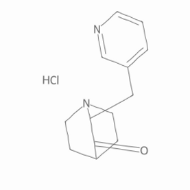 Cl.O=C1C2CCN(CC2)C1Cc1cccnc1